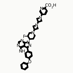 Nc1ncnc2c1c(-c1ccc(Oc3ccccc3)cc1)nn2[C@H]1CCN(C2CN(C3CN(c4ccc(C(=O)O)nc4)C3)C2)C[C@@H]1F